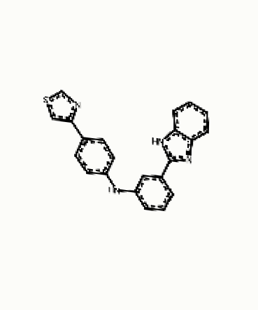 c1cc(Nc2ccc(-c3cscn3)cc2)cc(-c2nc3ccccc3[nH]2)c1